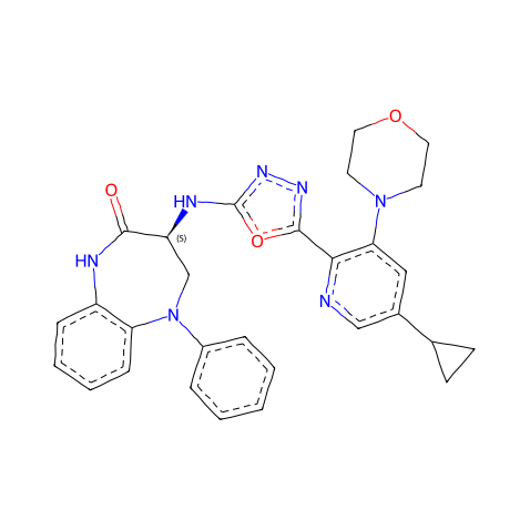 O=C1Nc2ccccc2N(c2ccccc2)C[C@@H]1Nc1nnc(-c2ncc(C3CC3)cc2N2CCOCC2)o1